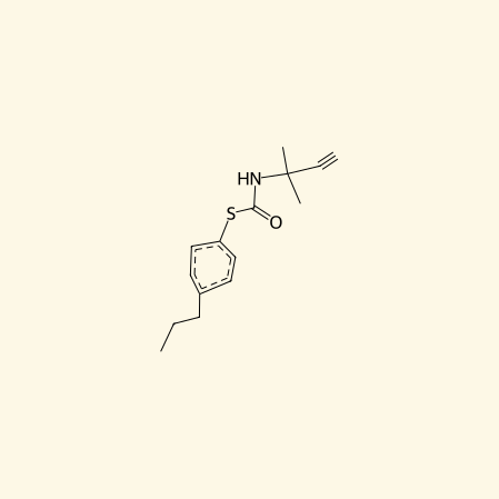 C#CC(C)(C)NC(=O)Sc1ccc(CCC)cc1